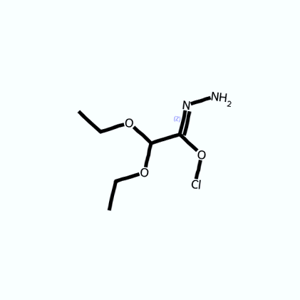 CCOC(OCC)/C(=N/N)OCl